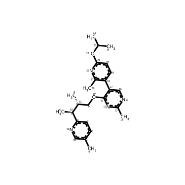 Cc1ccc([C@@H](C)[C@H](C)COc2nc(C)ncc2-c2ccc(OC(C)C)nc2C)nc1